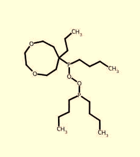 CCCCP(CCCC)OOP(CCCC)C1(CCC)CCOCCOCC1